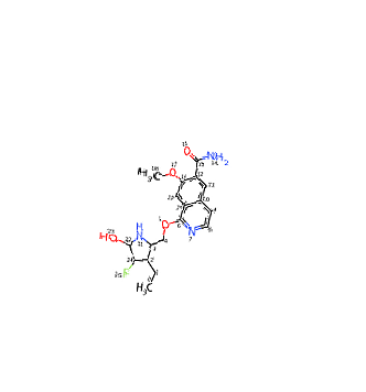 CCC1C(COc2nccc3cc(C(N)=O)c(OC)cc23)NC(O)C1F